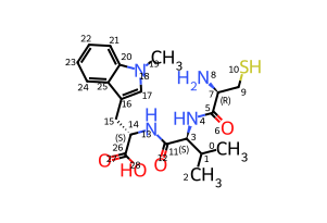 CC(C)[C@H](NC(=O)[C@@H](N)CS)C(=O)N[C@@H](Cc1cn(C)c2ccccc12)C(=O)O